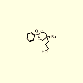 CCCCC1(CCCO)COP(=O)(c2ccccc2)OC1